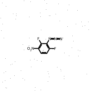 [N-]=[N+]=Nc1c(F)ccc([N+](=O)[O-])c1F